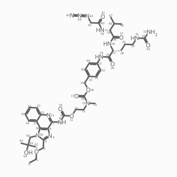 CCOCc1nc2c(NC(=O)OCCN(C)C(=O)OCc3ccc(NC(=O)[C@@H](CCCNC(N)=O)NC(=O)[C@H](NC(=O)CN=[N+]=[N-])C(C)C)cc3)nc3ccccc3c2n1CC(C)(C)O